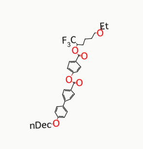 CCCCCCCCCCOc1ccc(-c2ccc(C(=O)Oc3ccc(C(=O)OC(CCCCOCC)C(F)(F)F)cc3)cc2)cc1